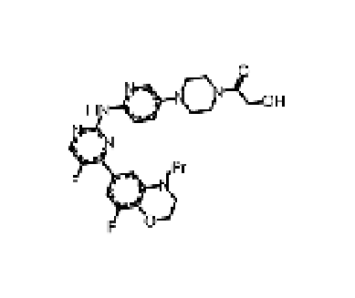 CC(C)N1CCOc2c(F)cc(-c3nc(Nc4ccc(N5CCN(C(=O)CO)CC5)cn4)ncc3F)cc21